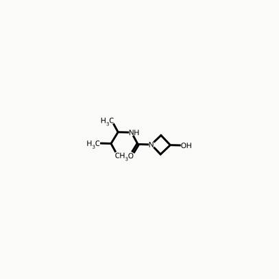 CC(C)C(C)NC(=O)N1CC(O)C1